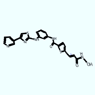 O=C(/C=C/c1ccc(C(=O)Nc2cccc(Nc3nc(-c4cccnc4)cs3)c2)s1)NO